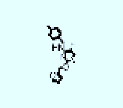 Cc1ccc(CNc2nc(OCc3ccco3)ncc2F)cc1